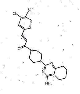 Nc1nc(N2CCN(C(=O)/C=C/c3ccc(Cl)c(Cl)c3)CC2)nc2c1CCCC2